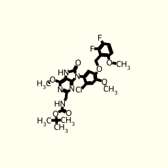 COc1cc(Cl)c(-n2c(=O)[nH]c3c(OC)nc(CNC(=O)OC(C)(C)C)nc32)cc1OCc1c(OC)ccc(F)c1F